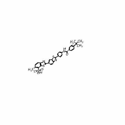 Cc1ccc2nc(-c3ccc4nc(-c5ccc(NC(=O)c6ccc(C(C)(C)C)cc6)cc5)sc4c3)sc2c1S(=O)(=O)O